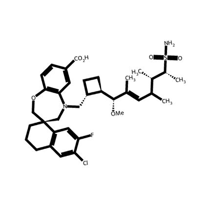 CO[C@@H](/C(C)=C/C(C)[C@H](C)[C@@H](C)S(N)(=O)=O)[C@@H]1CC[C@H]1CN1C[C@@]2(CCCc3cc(Cl)c(F)cc32)COc2ccc(C(=O)O)cc21